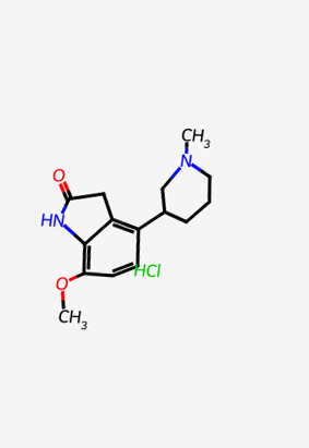 COc1ccc(C2CCCN(C)C2)c2c1NC(=O)C2.Cl